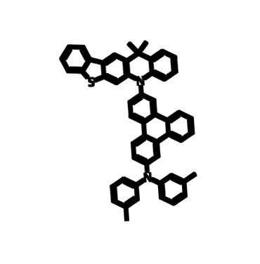 Cc1cccc(N(c2cccc(C)c2)c2ccc3c4ccc(N5c6ccccc6C(C)(C)c6cc7c(cc65)sc5ccccc57)cc4c4ccccc4c3c2)c1